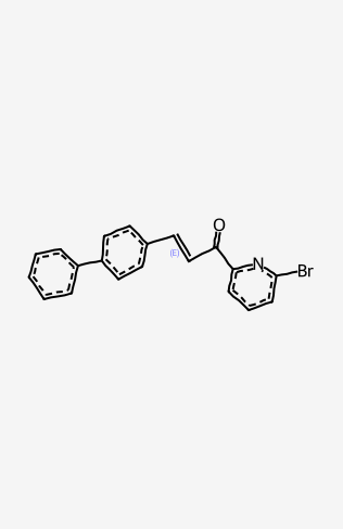 O=C(/C=C/c1ccc(-c2ccccc2)cc1)c1cccc(Br)n1